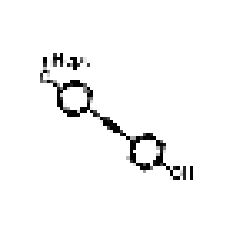 CCCCCCCOc1ccc(C#Cc2ccc(O)cc2)cc1